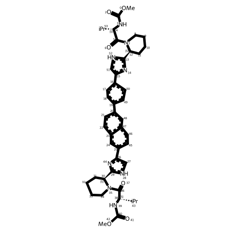 COC(=O)N[C@H](C(=O)N1CCCC[C@H]1c1nc(-c2ccc(-c3ccc4cc(-c5c[nH]c([C@@H]6CCCCN6C(=O)[C@@H](NC(=O)OC)C(C)C)n5)ccc4c3)cc2)c[nH]1)C(C)C